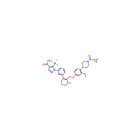 CCc1cc(OCC2=C(c3cccc(-n4ncc(C(=O)O)c4C(F)(F)F)n3)CCCC2C)ccc1C1CCN(C(=O)C2CC2)CC1